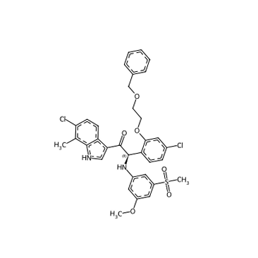 COc1cc(N[C@@H](C(=O)c2c[nH]c3c(C)c(Cl)ccc23)c2ccc(Cl)cc2OCCOCc2ccccc2)cc(S(C)(=O)=O)c1